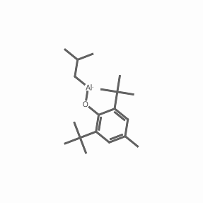 Cc1cc(C(C)(C)C)c([O][Al][CH2]C(C)C)c(C(C)(C)C)c1